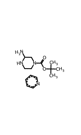 CC(C)(C)OC(=O)N1CCNC(N)C1.c1ccncc1